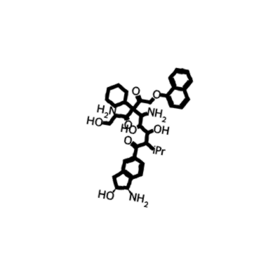 CC(C)C(C(=O)c1ccc2c(c1)C[C@@H](O)[C@H]2N)C(O)C(O)C(N)C(C(=O)COc1cccc2ccccc12)(C(=O)[C@@H](N)CO)C1CCCCC1